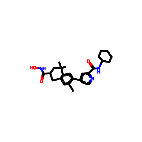 Cc1cc2c(cc1-c1ccnc(C(=O)NC3CCCCC3)c1)C(C)(C)CC(C(=O)NO)C2